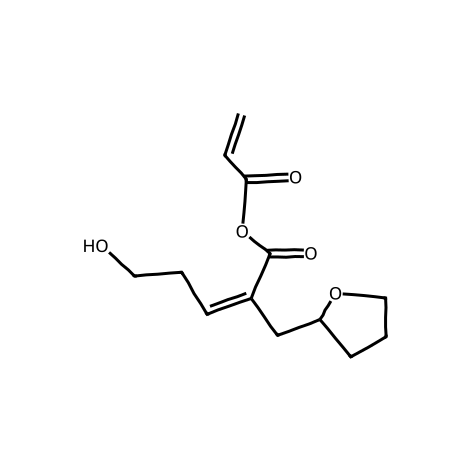 C=CC(=O)OC(=O)C(=CCCO)CC1CCCO1